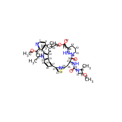 CCn1c(-c2cccnc2[C@H](C)OC)c2c3cc(ccc31)-c1csc(n1)C[C@H](NC(=O)N1C[C@@H](OC)[C@H]1C)C(=O)N1CCC[C@H](N1)C(=O)OCC(C)(C)C2